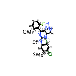 CCN(c1nc(-c2c(F)cccc2OC)c2[nH]ncc2n1)c1cc(SC)c(Cl)cc1Cl